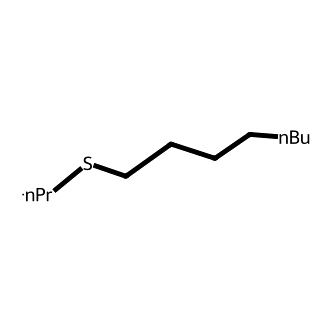 CC[CH]SCCCCCCCC